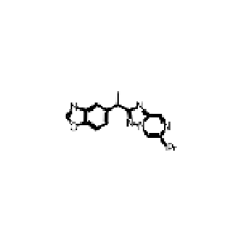 CC(C)c1cn2nc(C(C)c3ccc4ocnc4c3)nc2cn1